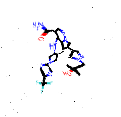 C[C@H]1CN(c2cnc(C(F)(F)F)cn2)C[C@H]1Nc1c(C(N)=O)cnn2cc(-c3cnn(CC(C)(C)O)c3)cc12